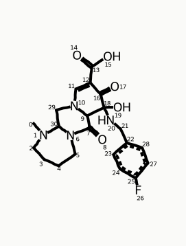 CN1CCCCN2C(=O)C3N(C=C(C(=O)O)C(=O)C3(O)NCc3ccc(F)cc3)CC12